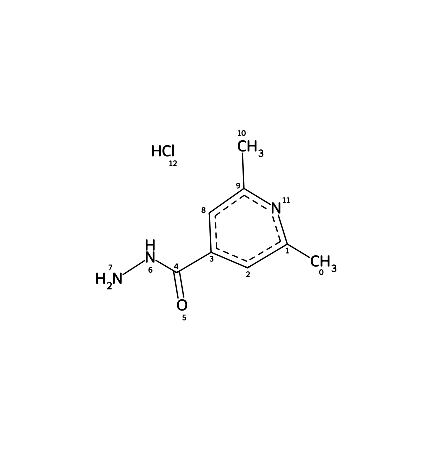 Cc1cc(C(=O)NN)cc(C)n1.Cl